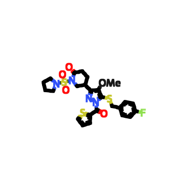 COc1c(C2CCC(=O)N(S(=O)(=O)N3CCCC3)C2)nn(C(=O)c2cccs2)c1SCc1ccc(F)cc1